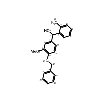 COc1cc(C(O)c2ccccc2C(F)(F)F)ccc1OCc1ccccc1